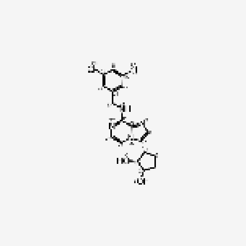 O[C@@H]1[C@H](O)CC[C@H]1c1cnc2c(NCc3cc(Cl)cc(Cl)c3)nccn12